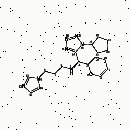 C1=COC([C@@H](NCCCn2ccnc2)c2nnnn2C2CCCC2)CC1